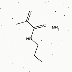 C=C(C)C(=O)NCCC.N